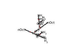 CCCCCCCC/C=C/CCCCCCCCN(CCCNC(=O)C(CCCNCCCN)NCCCN)CCOCCOCCN(CCCCCCCC/C=C/CCCCCCCC)CCCNC(=O)C(CCCNCCCN)NCCCN